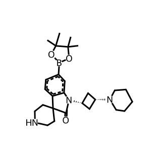 CC1(C)OB(c2ccc3c(c2)N([C@H]2C[C@@H](N4CCCCC4)C2)C(=O)C32CCNCC2)OC1(C)C